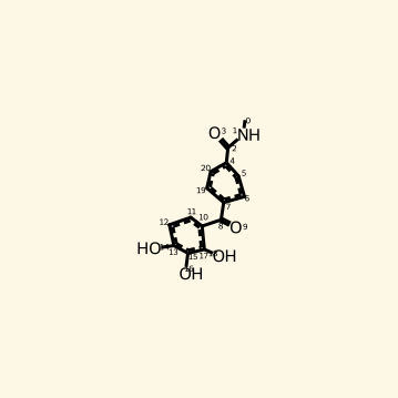 CNC(=O)c1ccc(C(=O)c2ccc(O)c(O)c2O)cc1